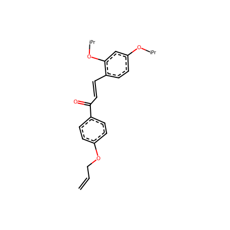 C=CCOc1ccc(C(=O)/C=C/c2ccc(OC(C)C)cc2OC(C)C)cc1